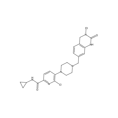 CCN1Cc2ccc(CN3CCN(c4ccc(C(=O)NC5CC5)nc4Cl)CC3)cc2NC1=O